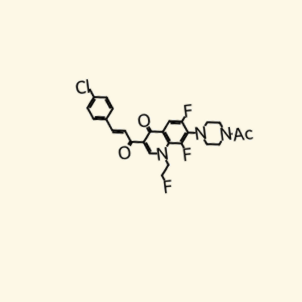 CC(=O)N1CCN(c2c(F)cc3c(=O)c(C(=O)/C=C/c4ccc(Cl)cc4)cn(CCF)c3c2F)CC1